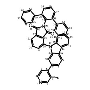 Cc1cnccc1-c1ccc2c3ccccc3n(-c3cccc4c3C(=O)N(c3c(-c5ccccc5)cccc3-c3ccccc3)C4=O)c2c1